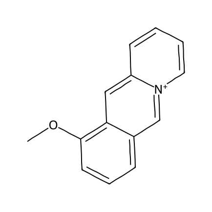 COc1cccc2c[n+]3ccccc3cc12